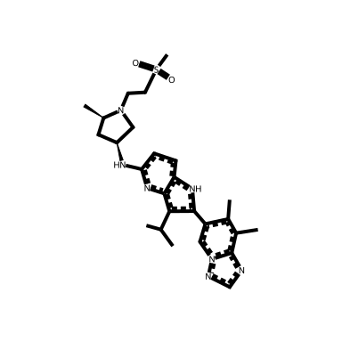 Cc1c(-c2[nH]c3ccc(N[C@H]4C[C@@H](C)N(CCS(C)(=O)=O)C4)nc3c2C(C)C)cn2ncnc2c1C